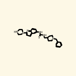 S=C(NCC1CCN(Cc2ccccc2)CC1)Nc1ccc2nc(N3CCNCC3)ccc2c1